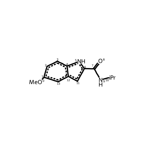 COc1ccc2[nH]c(C(=O)NC(C)C)cc2c1